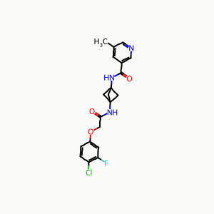 Cc1cncc(C(=O)NC23CC(NC(=O)COc4ccc(Cl)c(F)c4)(C2)C3)c1